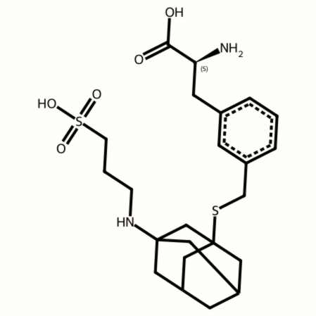 N[C@@H](Cc1cccc(CSC23CC4CC(CC(NCCCS(=O)(=O)O)(C4)C2)C3)c1)C(=O)O